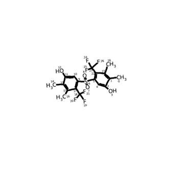 Cc1c(O)cc(S(=O)(=O)c2cc(O)c(C)c(C)c2C(F)(F)F)c(C(F)(F)F)c1C